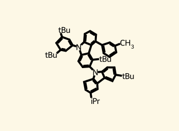 Cc1cccc(-c2cccc3c2c2c(C(C)(C)C)c(-n4c5ccc(C(C)C)cc5c5cc(C(C)(C)C)ccc54)ccc2n3-c2cc(C(C)(C)C)cc(C(C)(C)C)c2)c1